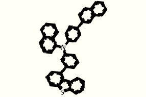 c1cc(-c2cccc3sc4ccccc4c23)cc(N(c2ccc(-c3ccc4ccccc4c3)cc2)c2cccc3ccccc23)c1